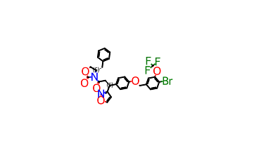 O=C(C[C@@H](c1ccc(OCc2ccc(Br)c(OC(F)(F)F)c2)cc1)c1ccon1)N1C(=O)OC[C@@H]1Cc1ccccc1